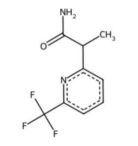 CC(C(N)=O)c1cccc(C(F)(F)F)n1